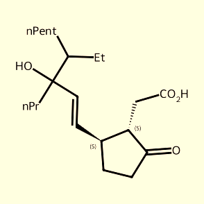 CCCCCC(CC)C(O)(C=C[C@@H]1CCC(=O)[C@H]1CC(=O)O)CCC